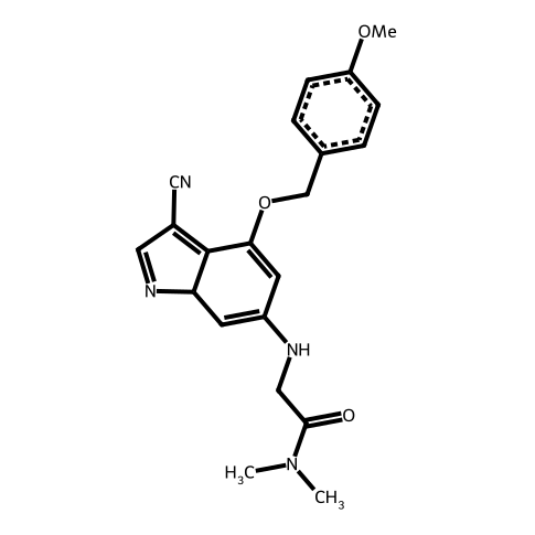 COc1ccc(COC2=CC(NCC(=O)N(C)C)=CC3N=CC(C#N)=C23)cc1